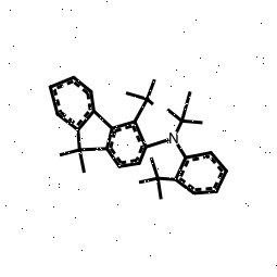 CC(C)(C)c1ccccc1N(c1ccc2c(c1C(C)(C)C)-c1ccccc1C2(C)C)C(C)(C)C